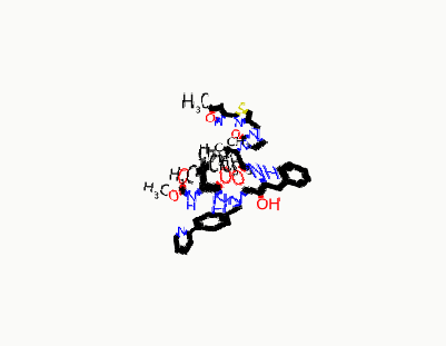 COC(=O)NC(C(=O)NN(Cc1ccc(-c2ccccn2)cc1)CC(O)C(Cc1ccccc1)NC(=O)C(N1CCN(Cc2csc(-c3cc(C)on3)n2)C1=O)C(C)(C)C)C(C)(C)C